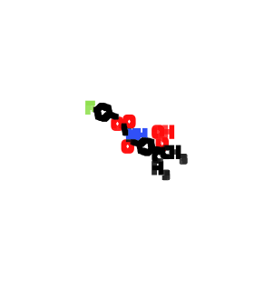 CC1(C)OB(O)c2cc(C(=O)NCC(=O)OCc3ccc(F)cc3)ccc21